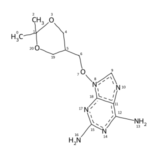 CC1(C)OCC(COn2cnc3c(N)nc(N)nc32)CO1